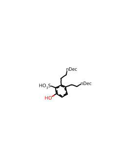 CCCCCCCCCCCCc1ccc(O)c(S(=O)(=O)O)c1CCCCCCCCCCCC